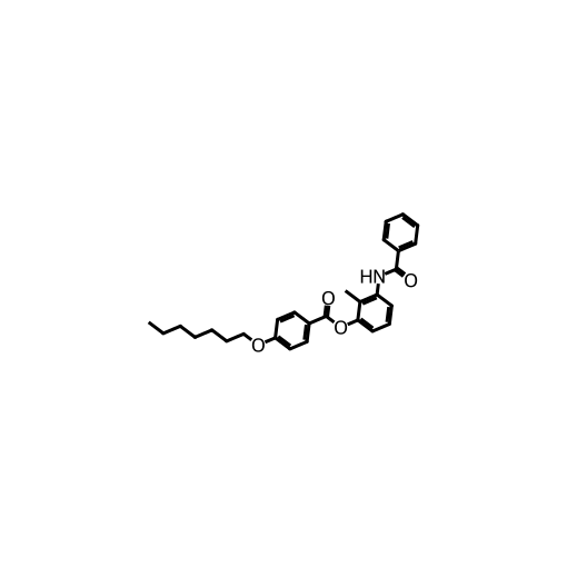 CCCCCCCOc1ccc(C(=O)Oc2cccc(NC(=O)c3ccccc3)c2C)cc1